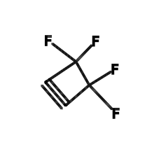 FC1(F)C#CC1(F)F